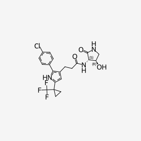 O=C(CCc1cc(C2(C(F)(F)F)CC2)[nH]c1-c1ccc(Cl)cc1)N[C@@H]1C(=O)NC[C@H]1O